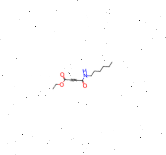 CCCCCCNC(=O)C#CC(=O)OCC